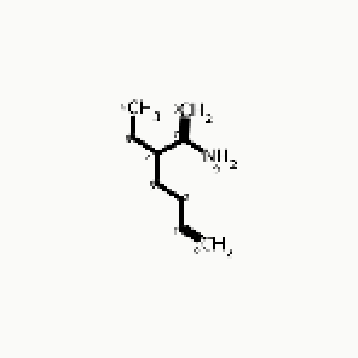 C=CCCC(CC)C(=C)N